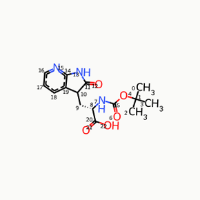 CC(C)(C)OC(=O)N[C@@H](CC1C(=O)Nc2ncccc21)C(=O)O